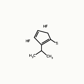 CC(C)C1=[C]([Ti])CC=C1.F.F